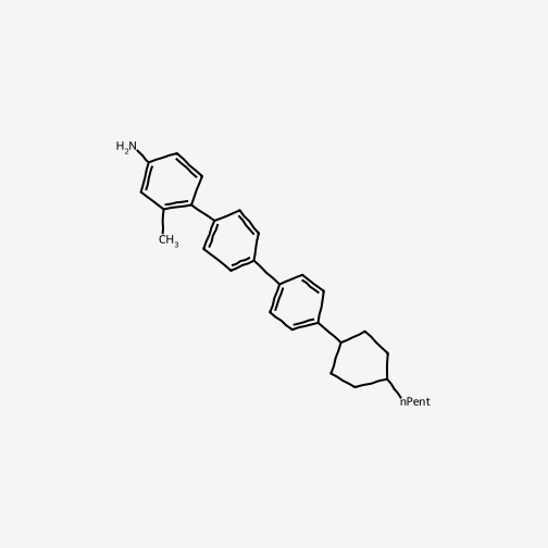 CCCCCC1CCC(c2ccc(-c3ccc(-c4ccc(N)cc4C)cc3)cc2)CC1